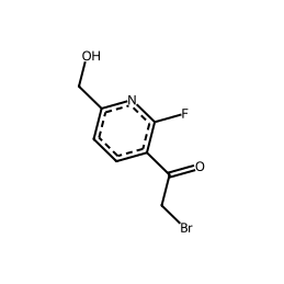 O=C(CBr)c1ccc(CO)nc1F